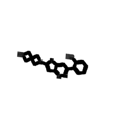 Oc1ccccc1-c1cc2sc(N3CC4(CNC4)C3)cc2nn1